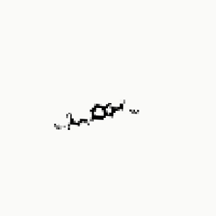 COC(=O)CCSc1ccc2sc(C(=O)OC)cc2c1